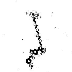 CC(C)(C)OC(=O)CCOCCOCCOCCOCCn1cc(-c2ccc3c(c2)CCN3C(=O)Cc2cccc(OC(F)(F)F)c2)c2c(N)ncnc21